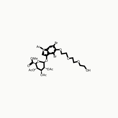 COC(=O)[C@H]1O[C@@H](Oc2cn(C(C)=O)c3cc(Br)c(OCCOCCOCCO)c(Br)c23)[C@H](OC(C)=O)[C@@H](OC(C)=O)[C@@H]1OC(C)=O